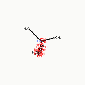 CCCCCCCCCCCCCCCCCC(=O)N[C@@H](COC1O[C@@H](CO)C(O[C@@H]2OC(CO)[C@H](O)[C@H](O[C@]3(C(=O)O)CC(O)[C@@H](C)[C@@](O)([C@H](O)CO)O3)C2O)C(O)C1O)[C@H](O)[C@H](O)CCCCCCCCCCCCCC